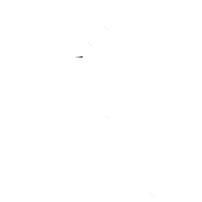 CC(=O)c1ccc2nc(Cc3cc(C)c(-c4cccc(OCc5ccc(C#N)cc5F)n4)cc3F)n(C[C@@H]3CCO3)c2c1